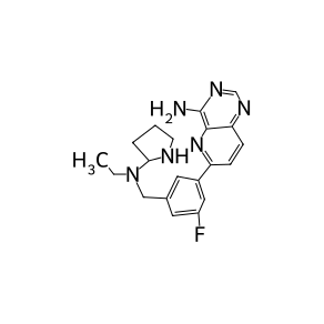 CCN(Cc1cc(F)cc(-c2ccc3ncnc(N)c3n2)c1)C1CCCN1